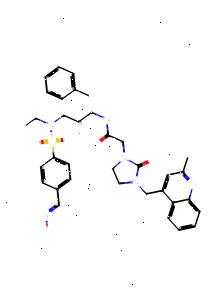 Cc1cc(CN2CCN([C@H](C(=O)N[C@@H](Cc3ccccc3)[C@H](O)CN(CC(C)C)S(=O)(=O)c3ccc(/C=N/O)cc3)C(C)(C)C)C2=O)c2ccccc2n1